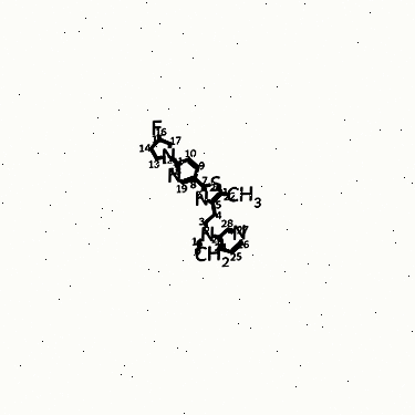 C=CN(CCc1nc(-c2ccc(N3CCC(F)C3)nc2)sc1C)c1cccnc1